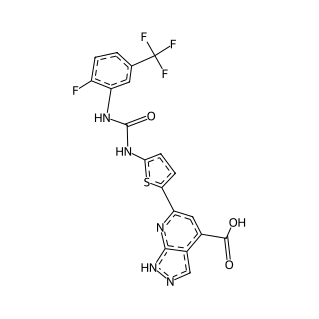 O=C(Nc1ccc(-c2cc(C(=O)O)c3cn[nH]c3n2)s1)Nc1cc(C(F)(F)F)ccc1F